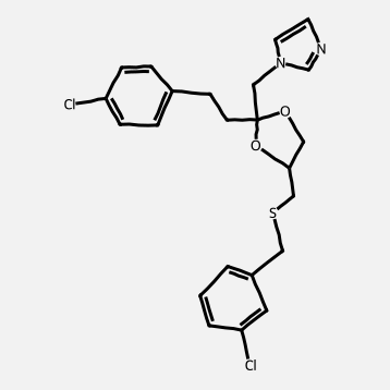 Clc1ccc(CCC2(Cn3ccnc3)OCC(CSCc3cccc(Cl)c3)O2)cc1